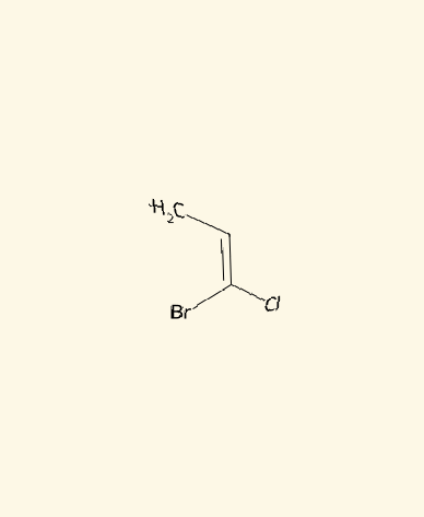 [CH2]C=C(Cl)Br